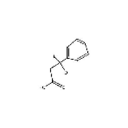 O=C(O)CC(O)(I)c1ccccc1